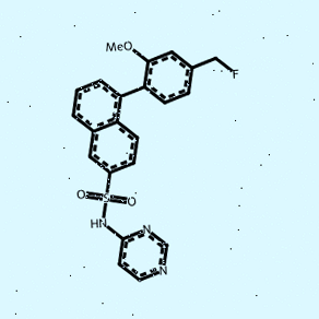 COc1cc(CF)ccc1-c1cccc2cc(S(=O)(=O)Nc3ccncn3)ccc12